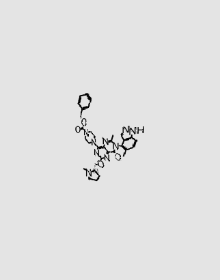 Cc1ccc2[nH]ncc2c1-n1c(C)nc2c(N3CCN(C(=O)OCc4ccccc4)CC3)nc(OC[C@@H]3CCCN3C)nc2c1=O